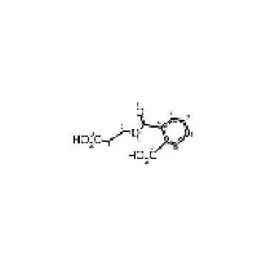 O=C(O)CCOC(=O)c1ccccc1C(=O)O